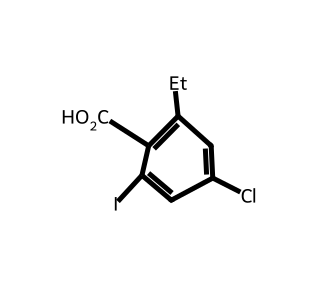 CCc1cc(Cl)cc(I)c1C(=O)O